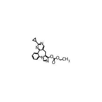 CCOC(=O)Oc1ncn2c1Cc1cnc(C3CC3)nc1-c1ccccc1-2